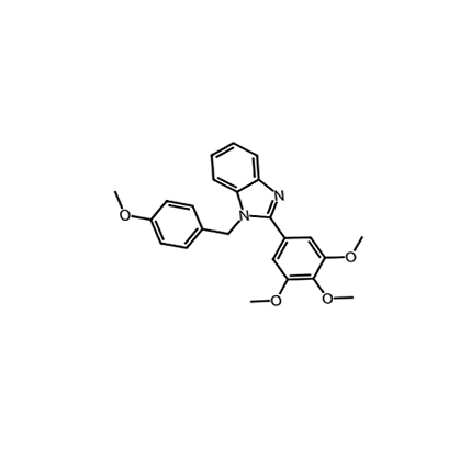 COc1ccc(Cn2c(-c3cc(OC)c(OC)c(OC)c3)nc3ccccc32)cc1